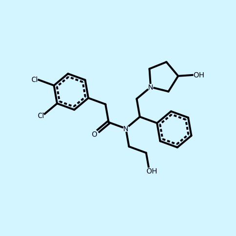 O=C(Cc1ccc(Cl)c(Cl)c1)N(CCO)C(CN1CCC(O)C1)c1ccccc1